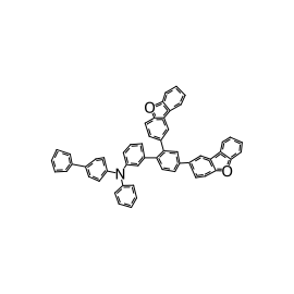 c1ccc(-c2ccc(N(c3ccccc3)c3cccc(-c4ccc(-c5ccc6oc7ccccc7c6c5)cc4-c4ccc5oc6ccccc6c5c4)c3)cc2)cc1